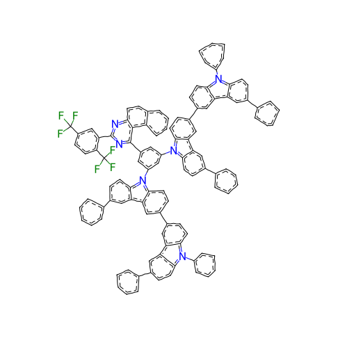 FC(F)(F)c1ccc(C(F)(F)F)c(-c2nc(-c3cc(-n4c5ccc(-c6ccccc6)cc5c5cc(-c6ccc7c(c6)c6cc(-c8ccccc8)ccc6n7-c6ccccc6)ccc54)cc(-n4c5ccc(-c6ccccc6)cc5c5cc(-c6ccc7c(c6)c6cc(-c8ccccc8)ccc6n7-c6ccccc6)ccc54)c3)c3c(ccc4ccccc43)n2)c1